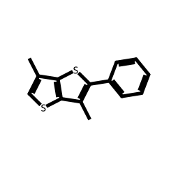 Cc1csc2c(C)c(-c3ccccc3)sc12